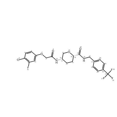 O=C(COc1ccc(Cl)c(F)c1)N[C@H]1CC[C@@H](C(=O)NCc2ccc(C(F)(F)F)cn2)OC1